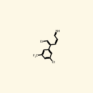 CC/C=C(/C=C\C=N)c1cc(CC)cc(C(F)(F)F)c1